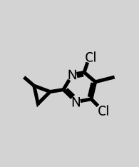 Cc1c(Cl)nc(C2CC2C)nc1Cl